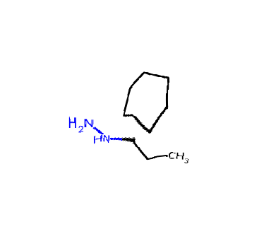 C1CCCCC1.CCCNN